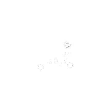 CC(NC(=O)Cc1ccccc1)C(=O)NCC(=O)N1c2ccccc2C[C@H]1C(=O)NCc1nn[nH]n1